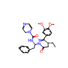 CCC1CC(=O)N(C(Cc2ccccc2)NC(=O)N2C=CN=CC2)N=C1c1ccc(OC)c(OC)c1